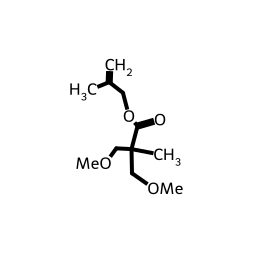 C=C(C)COC(=O)C(C)(COC)COC